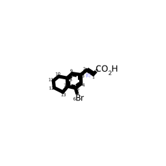 O=C(O)/C=C/c1cc(Br)c2c(c1)CCCC2